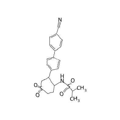 CC(C)S(=O)(=O)NC1CCS(=O)(=O)CC1c1ccc(-c2ccc(C#N)cc2)cc1